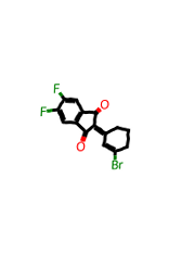 O=C1C(=C2C=C(Br)CCC2)C(=O)c2cc(F)c(F)cc21